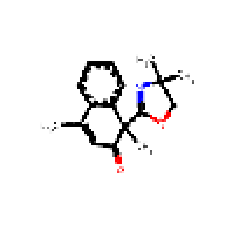 CC1=CC(=O)C(C)(C2=NC(C)(C)CO2)c2ccccc21